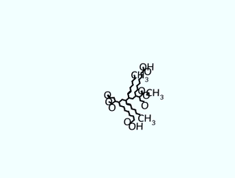 CCCCC/C=C/C(CC(CCCCCCCC(=O)O)C(CC=O)C(=O)OC)C(/C=C/CCCCC)CC(CCCCCCCC(=O)O)C1CC(=O)OC1=O